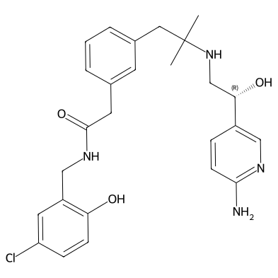 CC(C)(Cc1cccc(CC(=O)NCc2cc(Cl)ccc2O)c1)NC[C@H](O)c1ccc(N)nc1